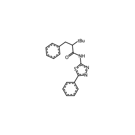 CC(C)(C)C(Cc1ccccc1)C(=O)Nc1nnc(-c2ccccc2)s1